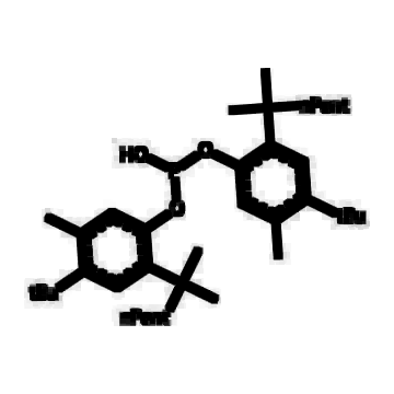 CCCCCC(C)(C)c1cc(C(C)(C)C)c(C)cc1OP(O)Oc1cc(C)c(C(C)(C)C)cc1C(C)(C)CCCCC